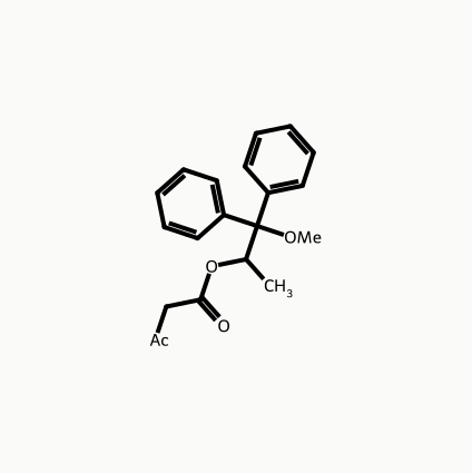 COC(c1ccccc1)(c1ccccc1)C(C)OC(=O)CC(C)=O